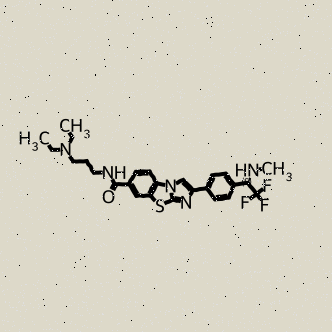 CCN(CC)CCCNC(=O)c1ccc2c(c1)sc1nc(-c3ccc([C@H](NC)C(F)(F)F)cc3)cn12